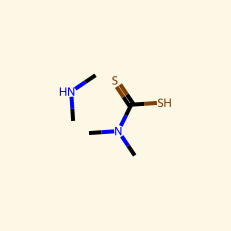 CN(C)C(=S)S.CNC